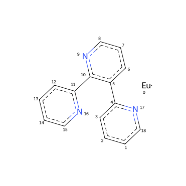 [Eu].c1ccc(-c2cccnc2-c2ccccn2)nc1